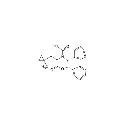 CC1(CC2C(=O)O[C@@H](c3ccccc3)[C@@H](c3ccccc3)N2C(=O)O)CC1